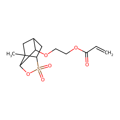 C=CC(=O)OCCOC1C2CC3C(C)(C2)C1OS3(=O)=O